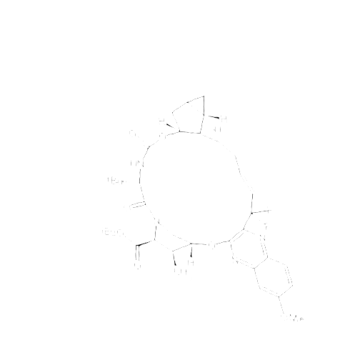 COc1ccc2nc3c(nc2c1)O[C@H]1CN(C(=O)[C@H](C(C)(C)C)NC(=O)O[C@@H]2CC4C[C@@H]4[C@H]2CC/C=C/C3(F)F)[C@H](C(=O)OCC(C)C)[C@@H]1C